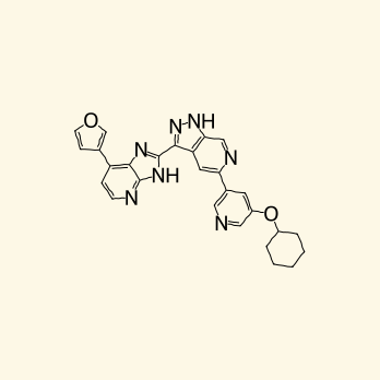 c1cc(-c2ccoc2)c2nc(-c3n[nH]c4cnc(-c5cncc(OC6CCCCC6)c5)cc34)[nH]c2n1